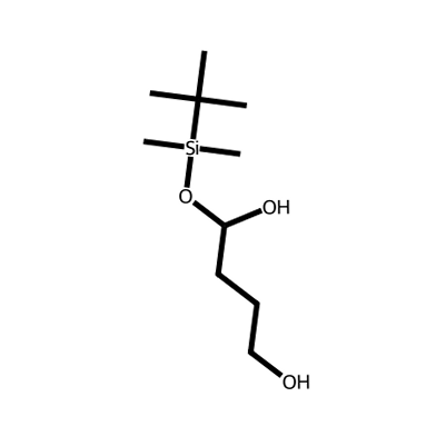 CC(C)(C)[Si](C)(C)OC(O)CCCO